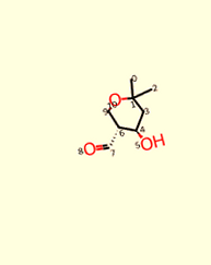 CC1(C)C[C@@H](O)[C@H](C=O)CO1